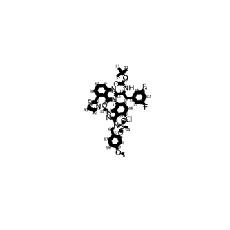 COc1ccc(CN(c2nn(C)c3c(-n4c(C(Cc5cc(F)cc(F)c5)NC(=O)OC(C)(C)C)nc5cccc(-c6nccs6)c5c4=O)ccc(Cl)c23)S(C)(=O)=O)cc1